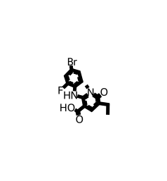 CCc1cc(C(=O)O)c(Nc2ccc(Br)cc2F)n(C)c1=O